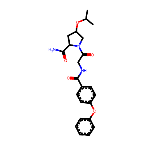 CC(C)OC1CC(C(N)=O)N(C(=O)CNC(=O)c2ccc(Oc3ccccc3)cc2)C1